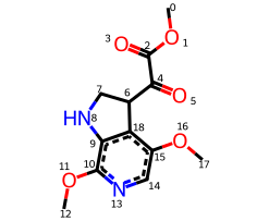 COC(=O)C(=O)C1CNc2c(OC)ncc(OC)c21